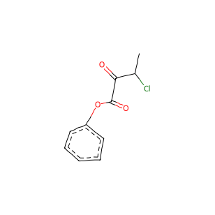 CC(Cl)C(=O)C(=O)Oc1ccccc1